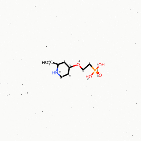 O=C(O)C1CC(OCCP(=O)(O)O)CCN1